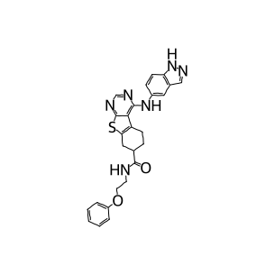 O=C(NCCOc1ccccc1)C1CCc2c(sc3ncnc(Nc4ccc5[nH]ncc5c4)c23)C1